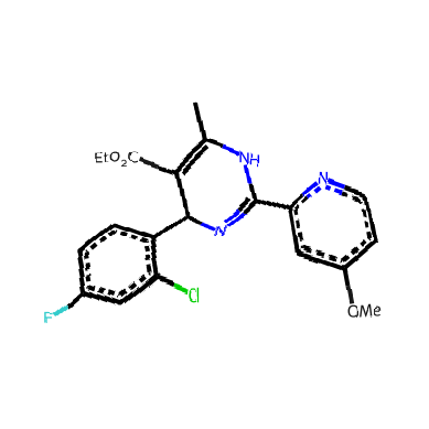 CCOC(=O)C1=C(C)NC(c2cc(OC)ccn2)=NC1c1ccc(F)cc1Cl